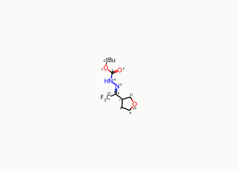 CC(C)(C)OC(=O)N/N=C(/C1CCOC1)C(F)(F)F